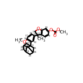 COC(=O)Oc1ccc2c(c1)OCC2(C)c1ccc(OC)c(C23CC4CC(CC(C4)C2)C3)c1